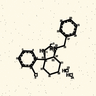 CN[C@]1(c2ccccc2Cl)CCCC[C@@H]1NCc1ccccc1.Cl.Cl